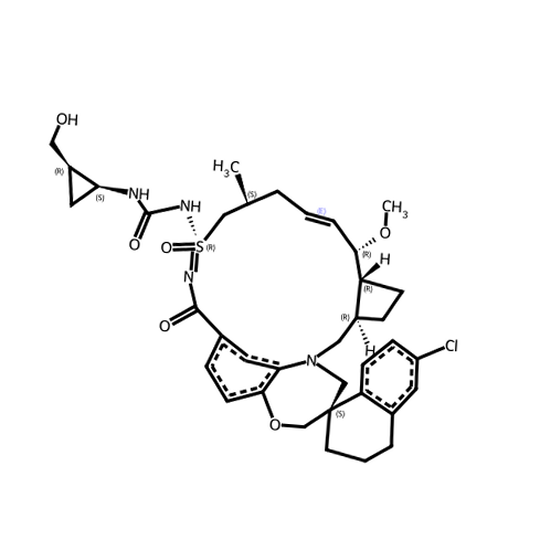 CO[C@H]1/C=C/C[C@H](C)C[S@@](=O)(NC(=O)N[C@H]2C[C@H]2CO)=NC(=O)c2ccc3c(c2)N(C[C@@H]2CC[C@H]21)C[C@@]1(CCCc2cc(Cl)ccc21)CO3